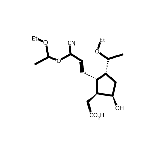 CCOC(C)OC(C#N)C=C[C@H]1[C@H](CC(=O)O)[C@H](O)C[C@H]1C(C)OCC